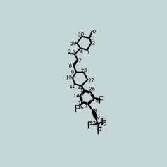 CC1CCC(C(C)C=CC2CCC(c3cc(F)c(C#CC(F)(F)F)c(F)c3)CC2)CC1